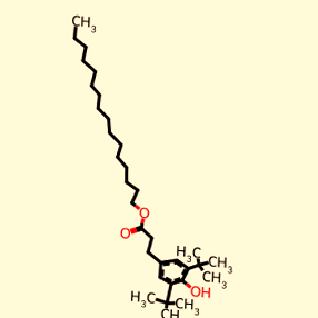 CCCCCCCCCCCCCCCCOC(=O)CCc1cc(C(C)(C)C)c(O)c(C(C)(C)C)c1